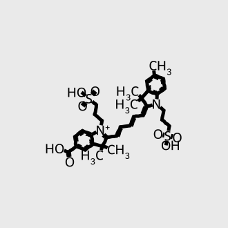 Cc1ccc2c(c1)C(C)(C)\C(=C/C=C/C=C/C1=[N+](CCCS(=O)(=O)O)c3ccc(C(=O)O)cc3C1(C)C)N2CCCS(=O)(=O)O